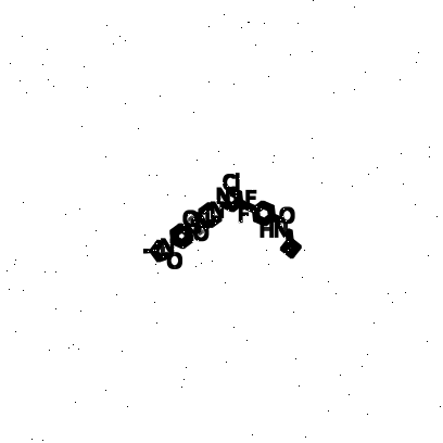 C[C@@H]1CC(=O)N(c2ccc(S(=O)(=O)N3CCN(c4cc(C(F)(F)C5CCC(C(=O)NCC6CCC6)CC5)cc(Cl)n4)CC3)cc2)C1